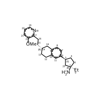 CC[C@@]1(N)CC[C@H](c2ccc3c(c2)CC[C@H](CCc2ncccc2OC)C3)C1